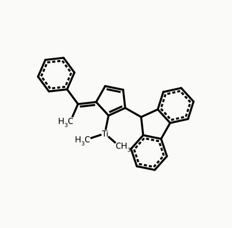 CC(=C1C=CC(C2c3ccccc3-c3ccccc32)=[C]1[Ti]([CH3])[CH3])c1ccccc1